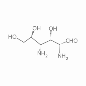 N[C@@H]([C@H](O)[C@@H](N)C=O)[C@H](O)CO